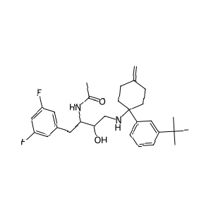 C=C1CCC(NCC(O)C(Cc2cc(F)cc(F)c2)NC(C)=O)(c2cccc(C(C)(C)C)c2)CC1